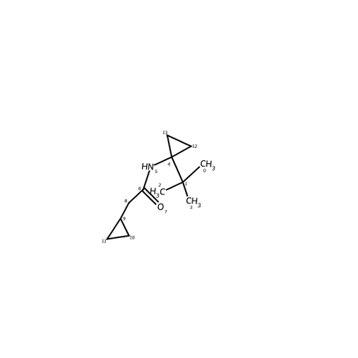 CC(C)(C)C1(NC(=O)CC2CC2)CC1